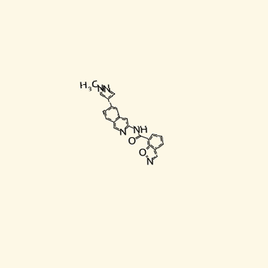 Cn1cc(-c2ccc3cnc(NC(=O)c4cccc5cnoc45)cc3c2)cn1